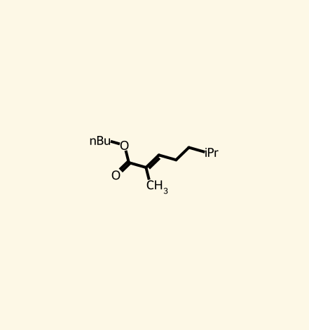 CCCCOC(=O)C(C)=CCCC(C)C